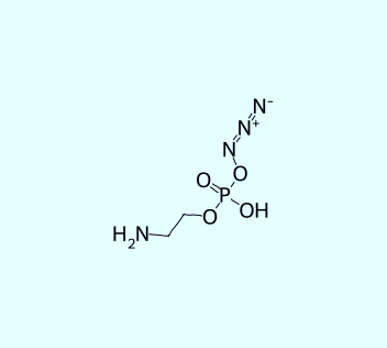 [N-]=[N+]=NOP(=O)(O)OCCN